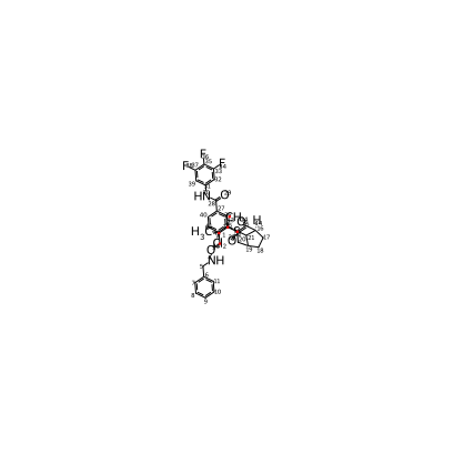 CC(CONCc1ccccc1)C(C)C1=C[C@H]2CCC(C1)C2S(=O)(=O)c1cc(C(=O)Nc2cc(F)c(F)c(F)c2)ccc1Cl